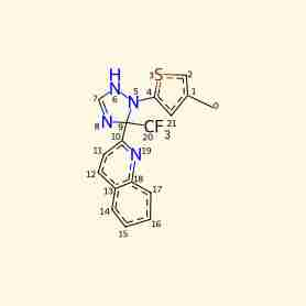 Cc1csc(N2NC=NC2(c2ccc3ccccc3n2)C(F)(F)F)c1